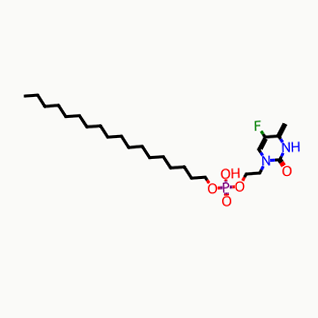 C=C1NC(=O)N(CCOP(=O)(O)OCCCCCCCCCCCCCCCCCC)C=C1F